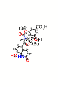 CCOc1cc(C(=O)O)ccc1CN(C[C@H](O[Si](C)(C)C(C)(C)C)c1ccc(O)c2[nH]c(=O)ccc12)C(=O)OC(C)(C)C